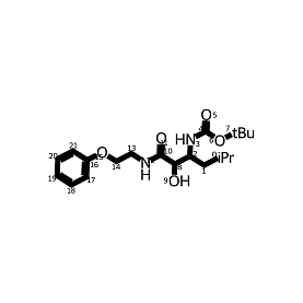 CC(C)CC(NC(=O)OC(C)(C)C)C(O)C(=O)NCCOc1ccccc1